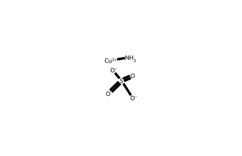 O=S(=O)([O-])[O-].[NH2][Cu+2]